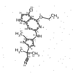 CCOc1nc(Nc2cn(C(C)(C)C#N)nc2C)nc2[nH]cc(Cl)c12